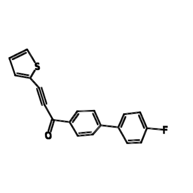 O=C(C#Cc1cccs1)c1ccc(-c2ccc(F)cc2)cc1